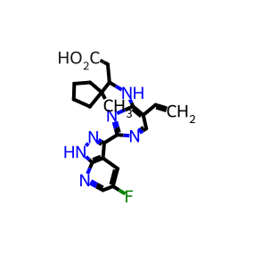 C=Cc1cnc(-c2n[nH]c3ncc(F)cc23)nc1NC(CC(=O)O)C1(C)CCCC1